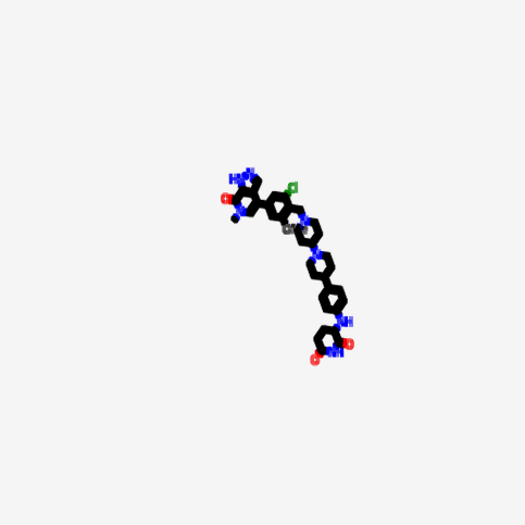 COc1cc(-c2cn(C)c(=O)c3[nH]ncc23)cc(Cl)c1CN1CCC(N2CCC(c3ccc(NC4CCC(=O)NC4=O)cc3)CC2)CC1